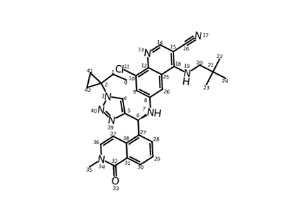 CCC1(n2cc([C@@H](Nc3cc(Cl)c4ncc(C#N)c(NCC(C)(C)C)c4c3)c3cccc4c(=O)n(C)ccc34)nn2)CC1